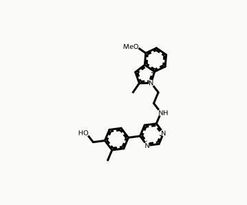 COc1cccc2c1cc(C)n2CCNc1cc(-c2ccc(CO)c(C)c2)ncn1